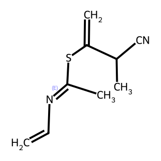 C=C/N=C(\C)SC(=C)C(C)C#N